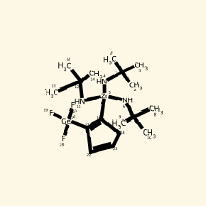 CC(C)(C)[NH][Zr]([NH]C(C)(C)C)([NH]C(C)(C)C)[C]1=[C]([Ge]([F])([F])[F])C=CC1